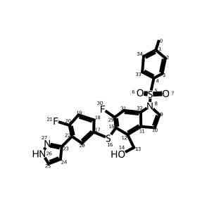 Cc1ccc(S(=O)(=O)n2ccc3c(CO)c(Sc4ccc(F)c(-c5cc[nH]n5)c4)c(F)cc32)cc1